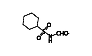 O=[C]NS(=O)(=O)C1CCCCC1